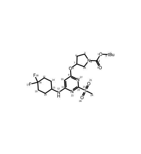 CC(C)(C)OC(=O)N1CCC(Oc2cc(NC3CCC(F)(F)CC3)nc(S(C)(=O)=O)n2)C1